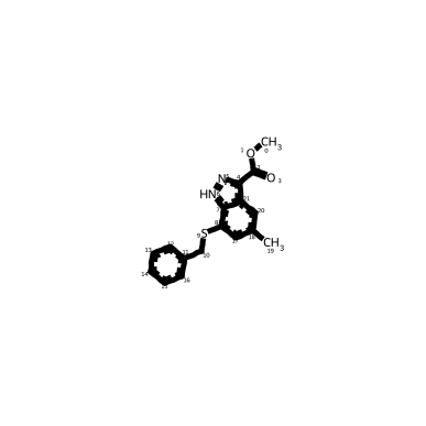 COC(=O)c1n[nH]c2c(SCc3ccccc3)cc(C)cc12